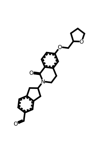 O=Cc1ccc2c(c1)CC(N1CCc3cc(OCC4CCCO4)ccc3C1=O)C2